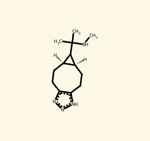 CBC(C)(C)C1[C@H]2CCc3[nH]nnc3CC[C@@H]12